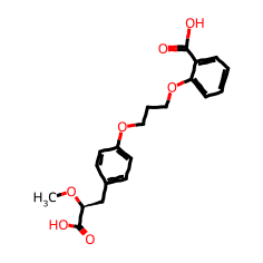 CO[C@@H](Cc1ccc(OCCCOc2ccccc2C(=O)O)cc1)C(=O)O